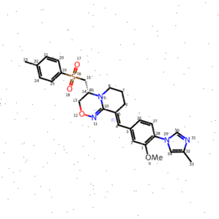 COc1cc(/C=C2\CCCN3C2=NOC[C@@H]3CS(=O)(=O)c2ccc(C)cc2)ccc1-n1cnc(C)c1